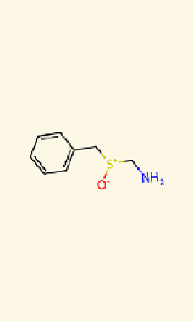 NC[S+]([O-])Cc1ccccc1